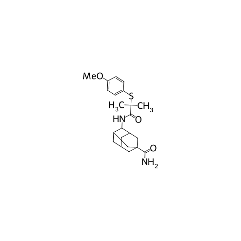 COc1ccc(SC(C)(C)C(=O)NC2C3CC4CC2CC(C(N)=O)(C4)C3)cc1